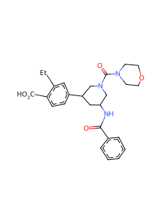 CCc1cc(C2CC(NC(=O)c3ccccc3)CN(C(=O)N3CCOCC3)C2)ccc1C(=O)O